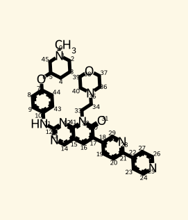 CN1CCCC(Oc2ccc(Nc3ncc4cc(-c5ccc(-c6ccncc6)nc5)c(=O)n(CCN5CCOCC5)c4n3)cc2)C1